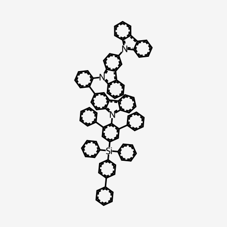 c1ccc(-c2ccc([Si](c3ccccc3)(c3ccccc3)c3cc(-c4ccccc4)c(-n4c5ccccc5c5cc(-c6ccccc6-n6c7ccccc7c7cc(-n8c9ccccc9c9ccccc98)ccc76)ccc54)c(-c4ccccc4)c3)cc2)cc1